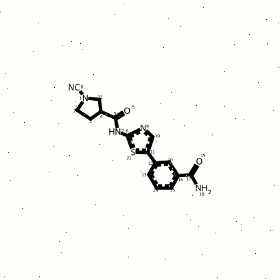 N#CN1CCC(C(=O)Nc2ncc(-c3cccc(C(N)=O)c3)s2)C1